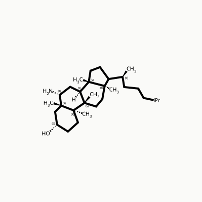 CC(C)CCC[C@H](C)C1CC[C@@]2(C)[C@@H]3C[C@@H](N)[C@@]4(C)C[C@@H](O)CC[C@]4(C)[C@@]3(C)CC[C@]12C